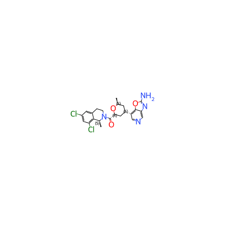 C[C@H]1C[C@H](c2cncc3nc(N)oc23)C[C@H](C(=O)N2CCc3cc(Cl)cc(Cl)c3[C@@H]2C)O1